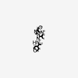 C=N/C=C(C)\C(=N/CNC(C)C1CCOCC1)n1cnc(C=O)c1